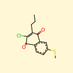 CCCC1=C(Cl)C(=O)c2ccc(SC)cc2C1=O